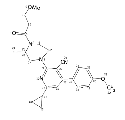 COCCC(=O)N1CCN(c2nc(C3CC3)cc(-c3ccc(OC(F)(F)F)cc3)c2C#N)C[C@@H]1C